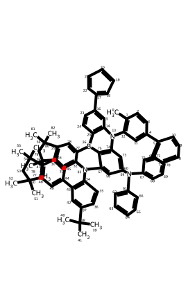 Cc1ccc(-c2ccccc2)cc1N1c2cc(-c3ccccc3)ccc2B2c3cc4c(cc3N(c3ccc(C(C)(C)C)cc3-c3ccc5c(c3)C(C)(C)CC5(C)C)c3cc(N(c5ccccc5)c5ccccc5)cc1c32)C(C)(C)CC4(C)C